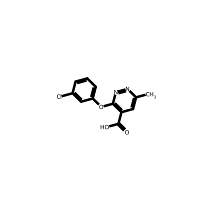 Cc1cc(C(=O)O)c(Oc2cccc(Cl)c2)nn1